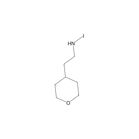 INCCC1CCOCC1